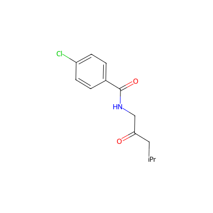 CC(C)CC(=O)CNC(=O)c1ccc(Cl)cc1